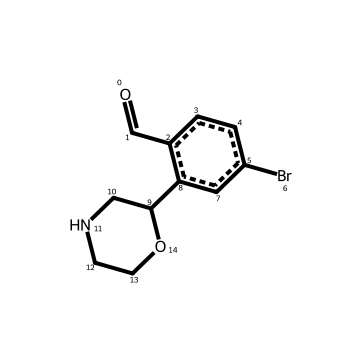 O=Cc1ccc(Br)cc1C1CNCCO1